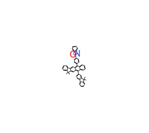 CC1(C)c2ccccc2-c2ccc(-c3c4ccccc4c(-c4ccc(-c5nc6ccccc6o5)cc4)c4cc5c(cc34)C(C)(C)c3ccccc3-5)cc21